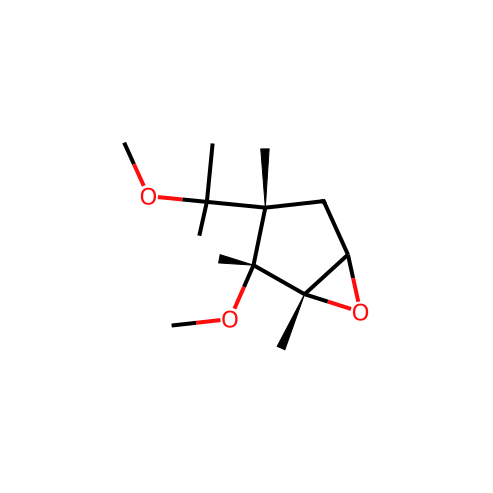 COC(C)(C)[C@]1(C)CC2O[C@]2(C)[C@]1(C)OC